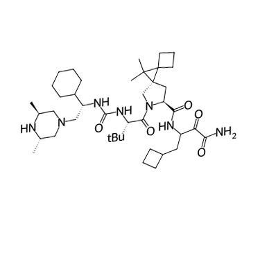 C[C@H]1CN(C[C@@H](NC(=O)N[C@H](C(=O)N2C[C@]3(C[C@H]2C(=O)NC(CC2CCC2)C(=O)C(N)=O)C(C)(C)C32CCC2)C(C)(C)C)C2CCCCC2)C[C@H](C)N1